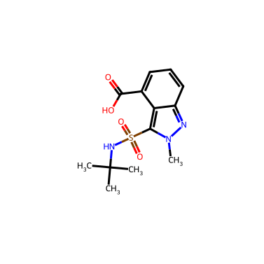 Cn1nc2cccc(C(=O)O)c2c1S(=O)(=O)NC(C)(C)C